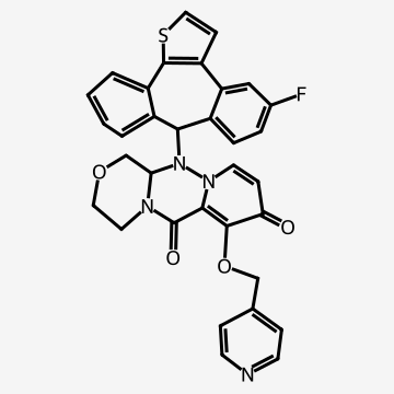 O=C1c2c(OCc3ccncc3)c(=O)ccn2N(C2c3ccc(F)cc3-c3ccsc3-c3ccccc32)C2COCCN12